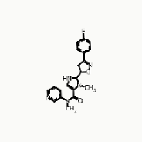 CN(C(=O)C1=CNC(C2CC(c3ccc(F)cc3)=NO2)N1C)c1cccnc1